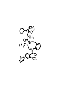 C[C@@H]1CN(C(=O)c2ccc(-n3cccn3)cc2Cl)c2ccccc2CN1C(=O)NCC(=O)N(C)C1CCCCC1